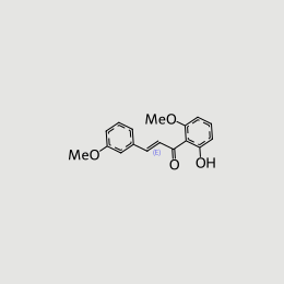 COc1cccc(/C=C/C(=O)c2c(O)cccc2OC)c1